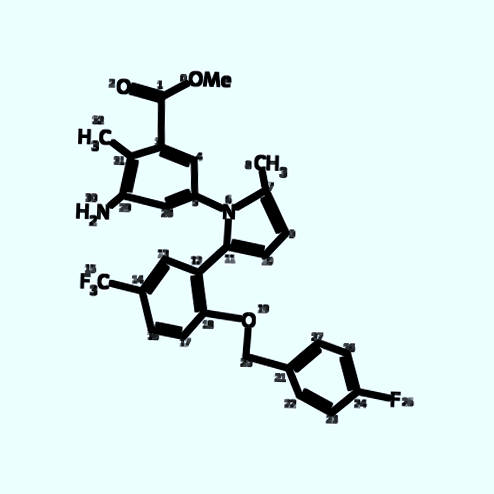 COC(=O)c1cc(-n2c(C)ccc2-c2cc(C(F)(F)F)ccc2OCc2ccc(F)cc2)cc(N)c1C